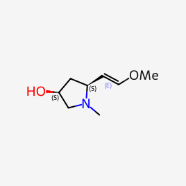 CO/C=C/[C@@H]1C[C@H](O)CN1C